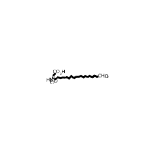 CCNN(CCC(=O)O)C(=O)CCCCCCCCCCCCCCCCCCC=O